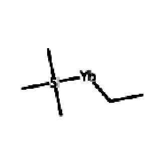 C[CH2][Yb][Si](C)(C)C